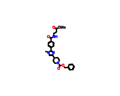 COC(=O)CCNC(=O)c1ccc(-c2nc(C3CCN(C(=O)OCc4ccccc4)CC3)cn2C)cc1